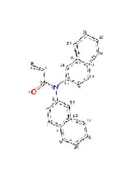 C=CC(=O)N(c1ccc2ccccc2c1)c1ccc2ccccc2c1